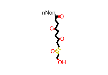 CCCCCCCCCC(=O)CCC(=O)CCC(=O)CC[S+]([O-])CCO